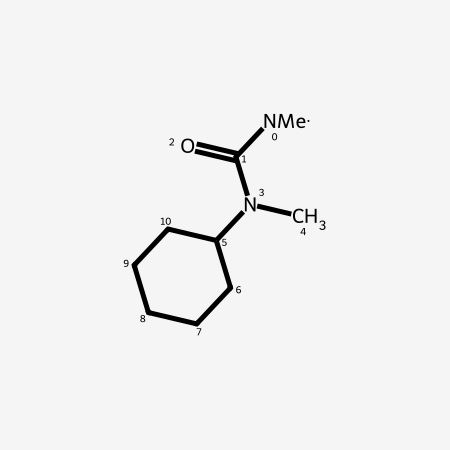 C[N]C(=O)N(C)C1CCCCC1